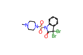 CN1CCN(S(=O)(=O)N2C(=O)C(Br)(Br)c3ccccc32)CC1